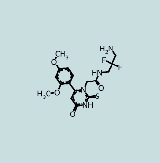 COc1ccc(-c2cc(=O)[nH]c(=S)n2CC(=O)NCC(F)(F)CN)c(OC)c1